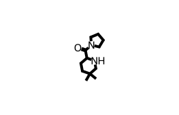 CC1(C)CCC(C(=O)N2CCCC2)NC1